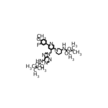 COc1ccc(-c2cc(Cn3cnc4c(NC(=O)OC(C)(C)C)ncnc43)c(N3CCCC(NC(=O)OC(C)(C)C)C3)cn2)cc1F